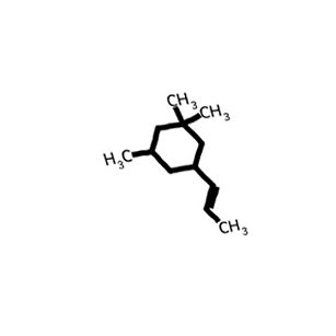 CC=CC1CC(C)CC(C)(C)C1